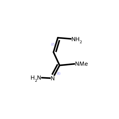 CNC(/C=C\N)=N/N